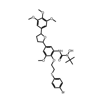 COc1cc(C2CCC(c3cc(OC)c(OC)c(OC)c3)O2)cc(NC(=O)N(O)C(C)(C)C)c1OCCSc1ccc(Br)cc1